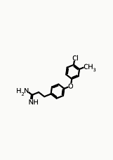 Cc1cc(Oc2ccc(CCC(=N)N)cc2)ccc1Cl